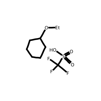 CCOC1CCCCC1.O=S(=O)(O)C(F)(F)F